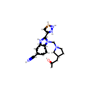 CC(=O)CC1CCN(Cn2c(-c3csnn3)nc3cc(C#N)ccc32)C1